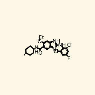 CCOc1cc2[nH]c(Nc3c(Cl)cc(F)cc3Cl)nc2cc1C(=O)N[C@H]1CC[C@H](C)CC1